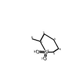 CC1CCCCS1(=O)=O